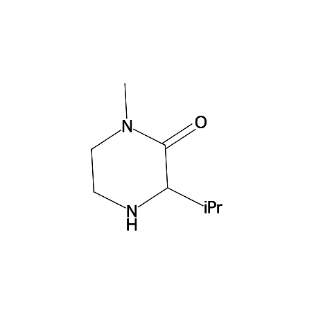 CC(C)C1NCCN(C)C1=O